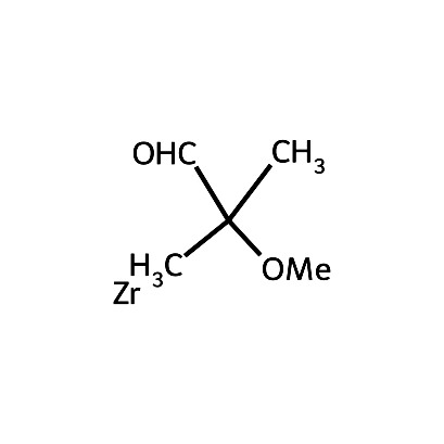 COC(C)(C)C=O.[Zr]